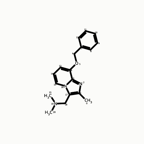 Cc1nc2c(OCc3ccccc3)cccn2c1CN(C)C